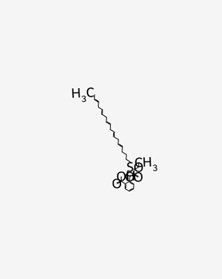 CCC=CCC=CCC=CCC=CCC=CCCCCSC(OC)C(=O)Oc1ccccc1C(=O)O